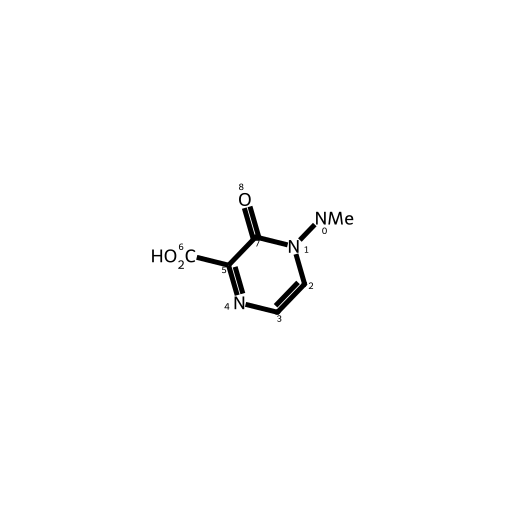 CNn1ccnc(C(=O)O)c1=O